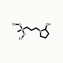 CCO[Si](C)(CCCN1CCCC1O)OCC